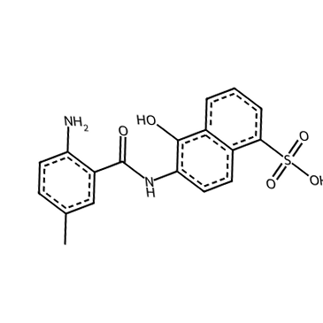 Cc1ccc(N)c(C(=O)Nc2ccc3c(S(=O)(=O)O)cccc3c2O)c1